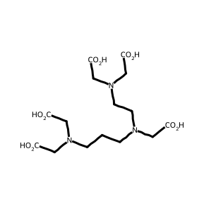 O=C(O)CN(CCCN(CC(=O)O)CC(=O)O)CCN(CC(=O)O)CC(=O)O